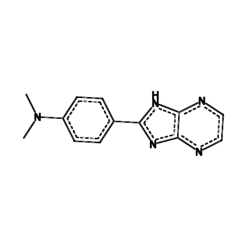 CN(C)c1ccc(-c2nc3nccnc3[nH]2)cc1